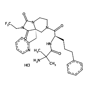 CC(C)(N)C(=O)N[C@H](CCCc1ccccc1)C(=O)N1CCN2C(=O)N(CC(F)(F)F)C(=O)[C@]2(Cc2ccccn2)C1.Cl